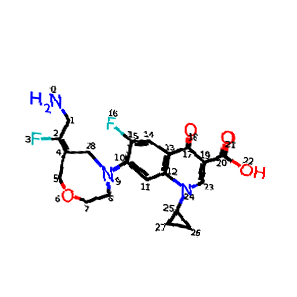 NC/C(F)=C1/COCCN(c2cc3c(cc2F)c(=O)c(C(=O)O)cn3C2CC2)C1